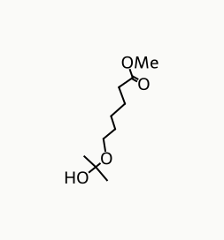 COC(=O)CCCCCOC(C)(C)O